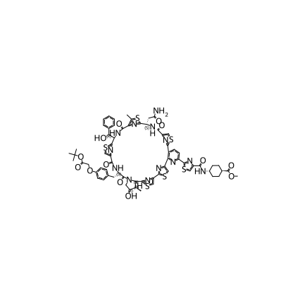 COC(=O)[C@H]1CC[C@H](NC(=O)c2csc(-c3ccc4c(n3)-c3csc(n3)-c3csc(n3)[C@@H]3[C@@H](C)[C@@H](O)CN3C(=O)[C@H](Cc3ccc(OCC(=O)OC(C)(C)C)cc3)NC(=O)c3csc(n3)C([C@H](O)c3ccccc3)NC(=O)c3nc(sc3C)[C@H](CC(N)=O)NC(=O)c3csc-4n3)n2)CC1